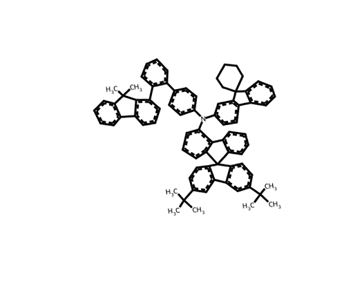 CC(C)(C)c1ccc2c(c1)-c1cc(C(C)(C)C)ccc1C21c2ccccc2-c2c(N(c3ccc(-c4ccccc4-c4cccc5c4C(C)(C)c4ccccc4-5)cc3)c3ccc4c(c3)C3(CCCCC3)c3ccccc3-4)cccc21